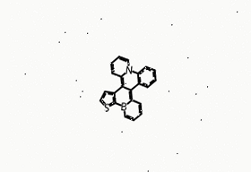 C1=CB2C(=C3C(=C4C=CC=CN4c4ccccc43)c3ccsc32)C=C1